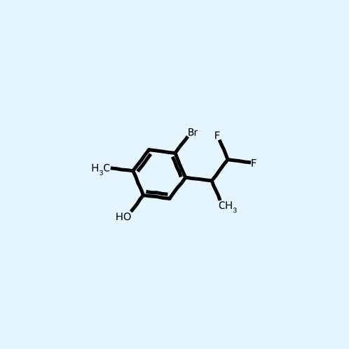 Cc1cc(Br)c(C(C)C(F)F)cc1O